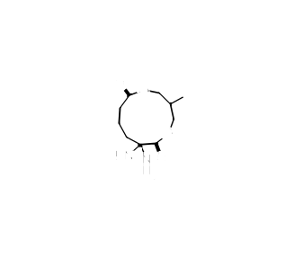 CC1COC(=O)CCCC(N)(N)C(=O)OC1